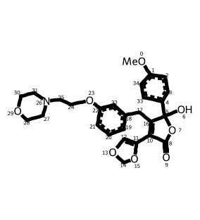 COc1ccc(C2(O)OC(=O)C(C3=COCO3)=C2Cc2cccc(OCCN3CCOCC3)c2)cc1